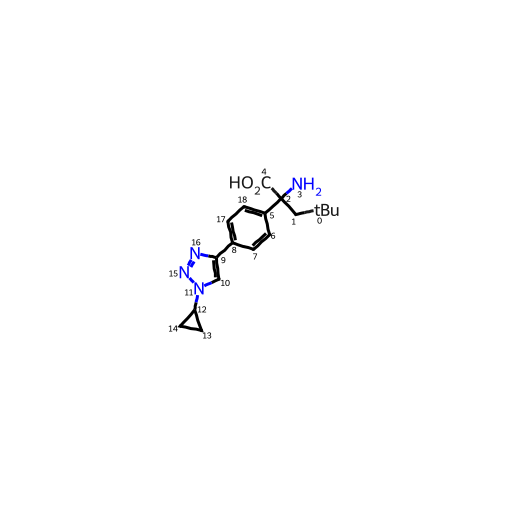 CC(C)(C)CC(N)(C(=O)O)c1ccc(-c2cn(C3CC3)nn2)cc1